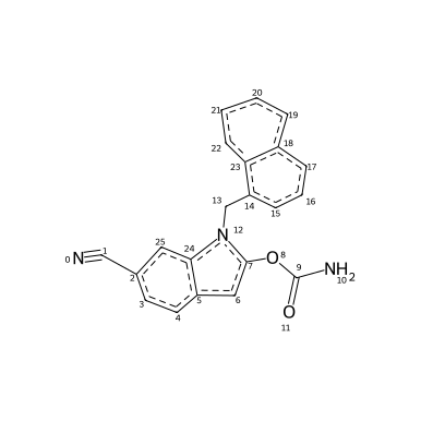 N#Cc1ccc2cc(OC(N)=O)n(Cc3cccc4ccccc34)c2c1